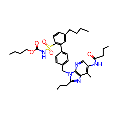 CCCCOC(=O)NS(=O)(=O)c1ccc(CCCC)cc1-c1ccc(Cn2c(CCC)nc3c(C)c(NC(=O)CCC)cnc32)cc1